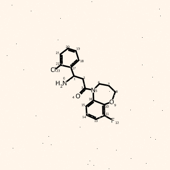 NC(CC(=O)N1CCCOc2c(F)cccc21)c1ccccc1Cl